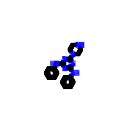 c1ccc(Nc2nc(Nc3ccccc3)nc(N3CCNCC3)n2)cc1